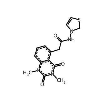 Cn1c(=O)c2c(CC(=O)NN3C=CSC3)cccc2n(C)c1=O